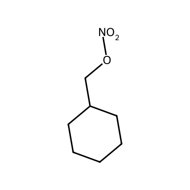 O=[N+]([O-])OCC1CCCCC1